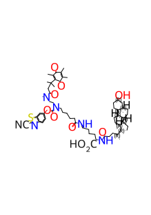 CC1=C(C)C(=O)C(C(C)(C)CC(=O)N(C)CCN(CCCCCC(=O)NCCCCC(NC(=O)CC[C@@H](C)[C@H]2CC[C@H]3[C@@H]4CC[C@@H]5C[C@H](O)CC[C@]5(C)[C@H]4CC[C@]23C)C(=O)O)C(=O)Oc2ccc3nc(C#N)sc3c2)=C(C)C1=O